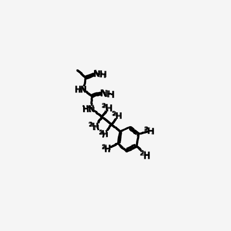 [2H]c1cc([2H])c(C([2H])([2H])C([2H])([2H])NC(=N)NC(C)=N)cc1[2H]